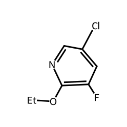 CCOc1ncc(Cl)cc1F